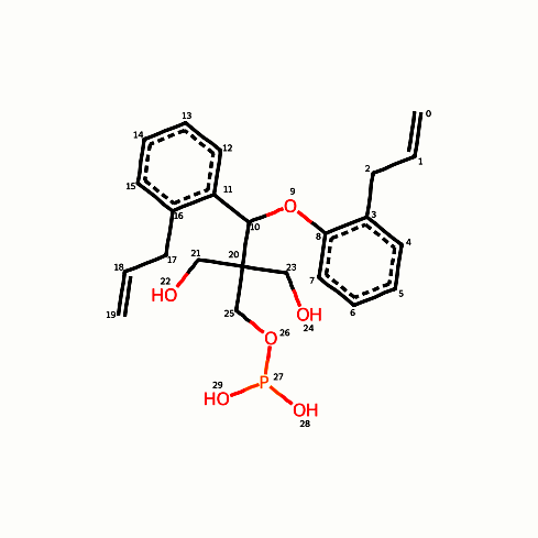 C=CCc1ccccc1OC(c1ccccc1CC=C)C(CO)(CO)COP(O)O